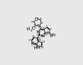 CC(C)n1ccc2c(N3CCOC[C@H]3C)nc(-c3ccnc4[nH]ccc34)nc21